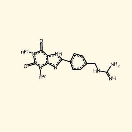 CCCn1c(=O)c2[nH]c(-c3ccc(CNC(=N)N)cc3)nc2n(CCC)c1=O